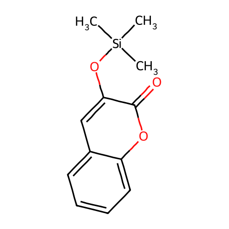 C[Si](C)(C)Oc1cc2ccccc2oc1=O